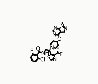 Cn1ncc2c(OC3CCN(C(CNC(=O)c4c(F)cccc4Cl)c4scnc4C(F)F)CC3)ncnc21